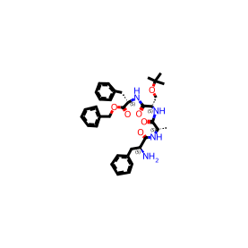 C[C@H](NC(=O)[C@@H](N)Cc1ccccc1)C(=O)N[C@@H](COC(C)(C)C)C(=O)N[C@@H](Cc1ccccc1)C(=O)OCc1ccccc1